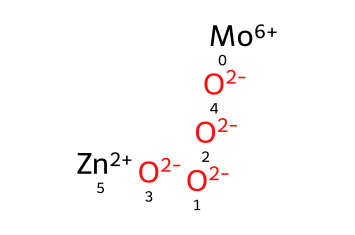 [Mo+6].[O-2].[O-2].[O-2].[O-2].[Zn+2]